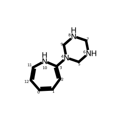 C1=CC=C(N2CNCNC2)NC=C1